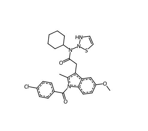 COc1ccc2c(c1)c(CC(=O)N(C1CCCCC1)N1NC=CS1)c(C)n2C(=O)c1ccc(Cl)cc1